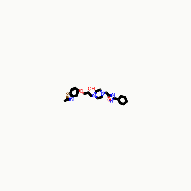 Cc1nc2cc(OC[C@H](O)CN3CCN(Cc4nc(C5CCCCC5)no4)CC3)ccc2s1